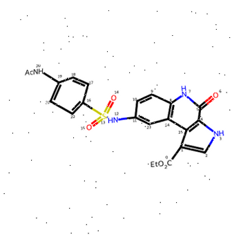 CCOC(=O)c1c[nH]c2c(=O)[nH]c3ccc(NS(=O)(=O)c4ccc(NC(C)=O)cc4)cc3c12